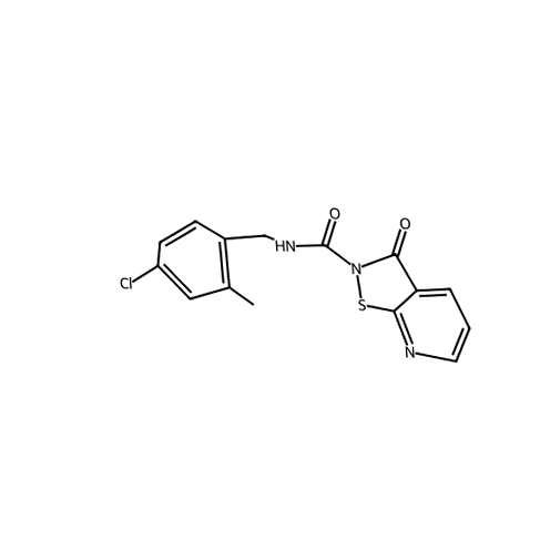 Cc1cc(Cl)ccc1CNC(=O)n1sc2ncccc2c1=O